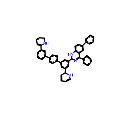 C1=CCNC(c2cccc(-c3ccc(-c4cc(C5C=CC=CN5)cc(C5N=C(c6ccccc6)c6cc(-c7ccccc7)ccc6N5)c4)cc3)c2)=C1